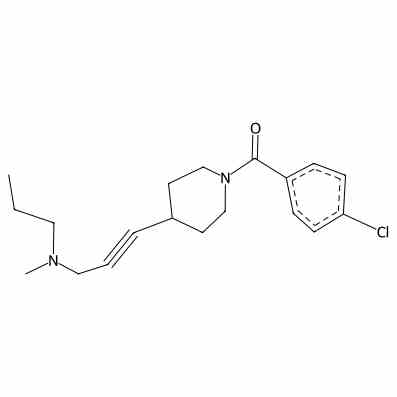 CCCN(C)CC#CC1CCN(C(=O)c2ccc(Cl)cc2)CC1